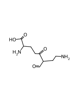 NCCC(C=O)C(=O)CCC(N)C(=O)O